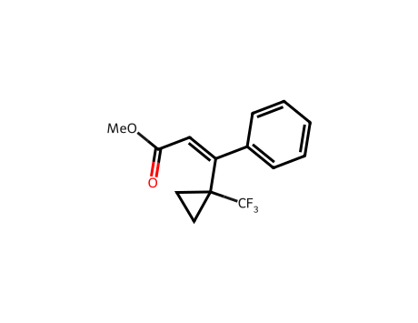 COC(=O)/C=C(/c1ccccc1)C1(C(F)(F)F)CC1